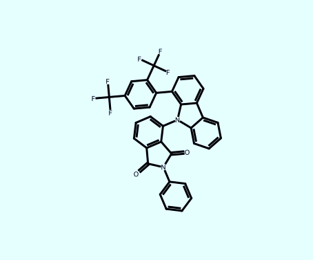 O=C1c2cccc(-n3c4ccccc4c4cccc(-c5ccc(C(F)(F)F)cc5C(F)(F)F)c43)c2C(=O)N1c1ccccc1